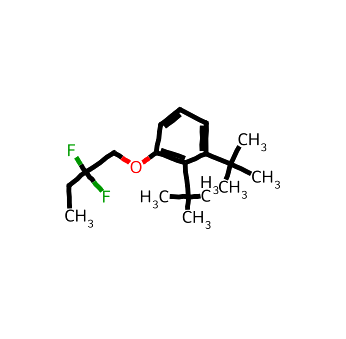 CCC(F)(F)COc1cccc(C(C)(C)C)c1C(C)(C)C